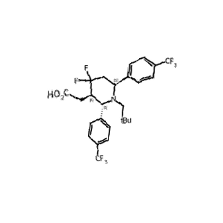 CC(C)(C)CN1[C@H](c2ccc(C(F)(F)F)cc2)[C@@H](CC(=O)O)C(F)(F)C[C@H]1c1ccc(C(F)(F)F)cc1